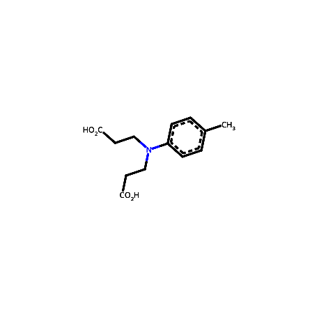 Cc1ccc(N(CCC(=O)O)CCC(=O)O)cc1